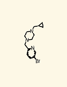 Brc1ccc(CN2CCN(CC3CC3)CC2)nc1